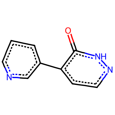 O=c1[nH]nccc1-c1cccnc1